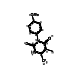 COc1ccc(-n2c(=O)[nH]c(C(F)(F)F)c(C)c2=O)cc1